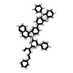 C=C/C(=C\C=C\c1ccccc1)c1nc(-c2ccccc2)cc(-n2c3ccc(-c4ccc5c(c4)Oc4ccccc4N5c4ccccc4)cc3c3c4ccccc4ccc32)n1